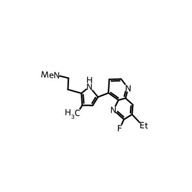 CCc1cc2nccc(-c3cc(C)c(CCNC)[nH]3)c2nc1F